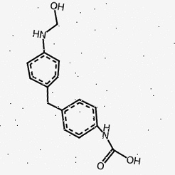 O=C(O)Nc1ccc(Cc2ccc(NCO)cc2)cc1